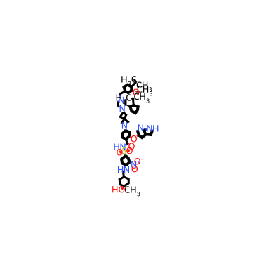 COc1cc(CN2CCN(C3CC4(C3)CN(c3ccc(C(=O)NS(=O)(=O)c5ccc(NCC6CCC(C)(O)CC6)c([N+](=O)[O-])c5)c(Oc5cnc6[nH]ccc6c5)c3)C4)[C@H](c3ccccc3C(C)C)C2)ccc1C(C)C